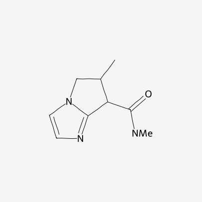 CNC(=O)C1c2nccn2CC1C